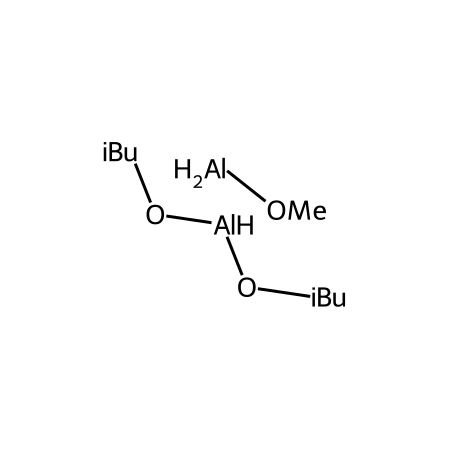 CCC(C)[O][AlH][O]C(C)CC.C[O][AlH2]